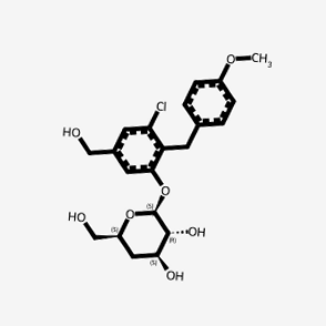 COc1ccc(Cc2c(Cl)cc(CO)cc2O[C@@H]2O[C@H](CO)C[C@H](O)[C@H]2O)cc1